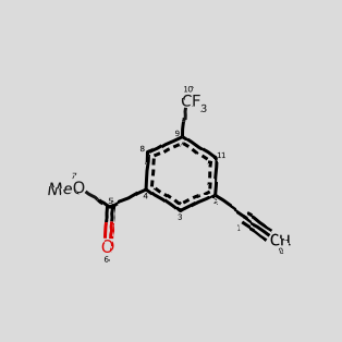 C#Cc1cc(C(=O)OC)cc(C(F)(F)F)c1